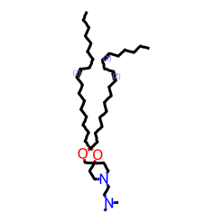 CCCCC/C=C\C/C=C\CCCCCCCCC1(CCCCCCCC/C=C\CCCCCCCC)OCC2(CCN(CCN(C)C)CC2)O1